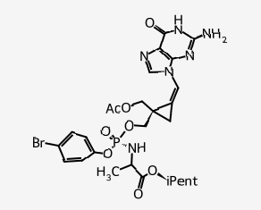 CCC[C@H](C)OC(=O)C(C)N[P@](=O)(OC[C@]1(COC(C)=O)C/C1=C/n1cnc2c(=O)[nH]c(N)nc21)Oc1ccc(Br)cc1